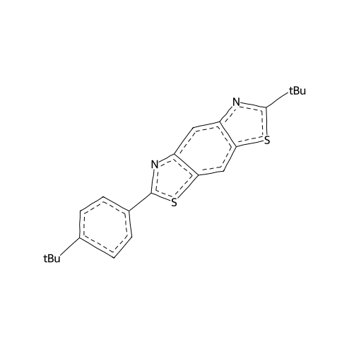 CC(C)(C)c1ccc(-c2nc3cc4nc(C(C)(C)C)sc4cc3s2)cc1